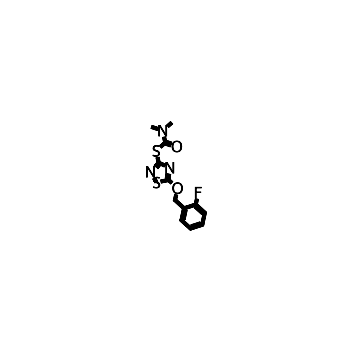 CN(C)C(=O)Sc1nsc(OCc2ccccc2F)n1